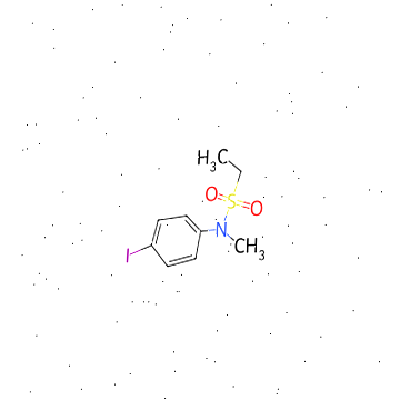 CCS(=O)(=O)N(C)c1ccc(I)cc1